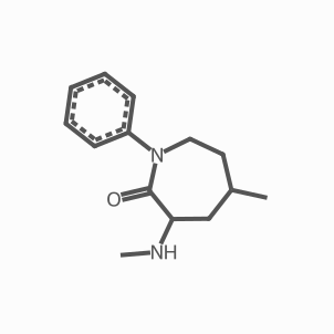 CNC1CC(C)CCN(c2ccccc2)C1=O